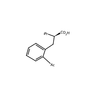 CC(=O)c1ccccc1C[C@H](C(=O)O)C(C)C